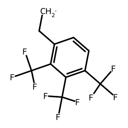 [CH2]Cc1ccc(C(F)(F)F)c(C(F)(F)F)c1C(F)(F)F